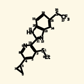 CCSc1cc(C2CC2)cnc1-c1nc2cc(SC(F)(F)F)ccc2[nH]1